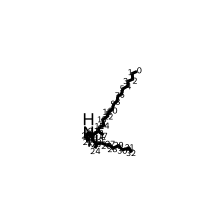 CCCCCCCCCCCCCCCCC(C)c1[nH]cc[n+]1C(C)CCCCCCCC